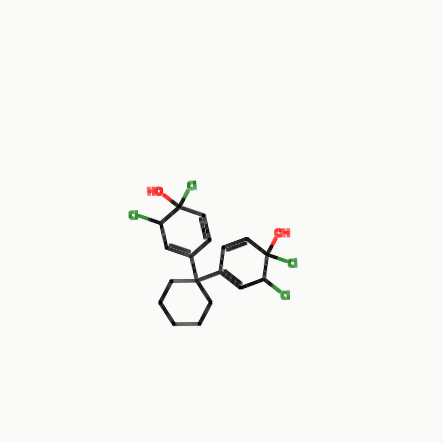 OC1(Cl)C=CC(C2(C3=CC(Cl)C(O)(Cl)C=C3)CCCCC2)=CC1Cl